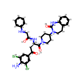 Nc1c(Br)cc(C(=O)C[C@@H](NC(=O)CNc2ccccc2)C(=O)N2CCC(N3CCc4ccccc4NC3=O)CC2)cc1Br